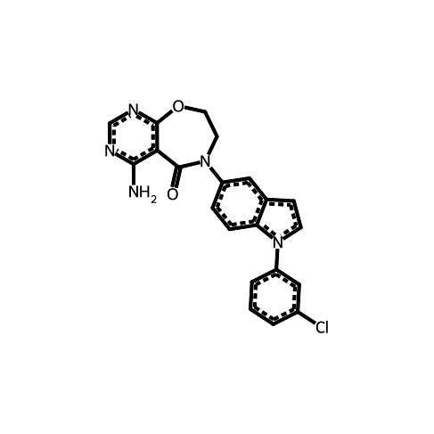 Nc1ncnc2c1C(=O)N(c1ccc3c(ccn3-c3cccc(Cl)c3)c1)CCO2